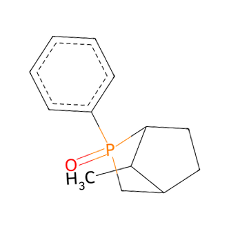 CC1C2CCC1P(=O)(c1ccccc1)C2